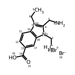 Br.CCn1c(CN)[n+](CC)c2ccc(C(=O)O)cc21.[Br-]